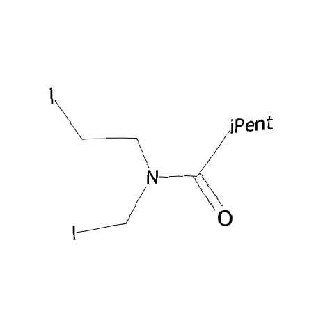 CCCC(C)C(=O)N(CI)CCI